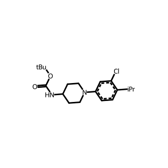 CC(C)c1ccc(N2CCC(NC(=O)OC(C)(C)C)CC2)cc1Cl